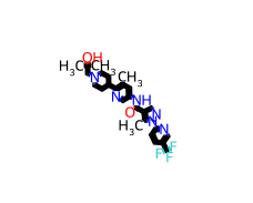 Cc1cc(NC(=O)c2cnn(-c3ccc(C(F)(F)F)cn3)c2C)cnc1C1CCN(CC(C)(C)O)CC1